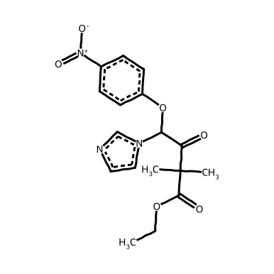 CCOC(=O)C(C)(C)C(=O)C(Oc1ccc([N+](=O)[O-])cc1)n1ccnc1